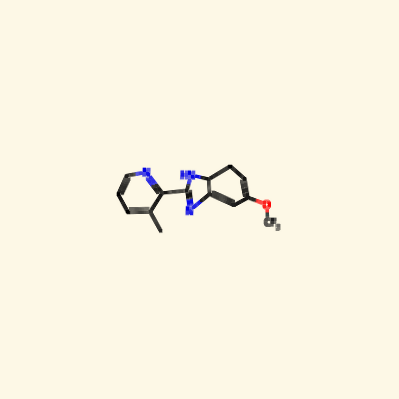 Cc1cccnc1C1=NC2=CC(OC(F)(F)F)=CCC2N1